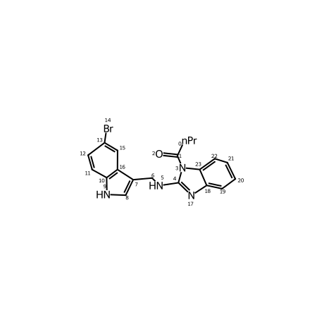 CCCC(=O)n1c(NCc2c[nH]c3ccc(Br)cc23)nc2ccccc21